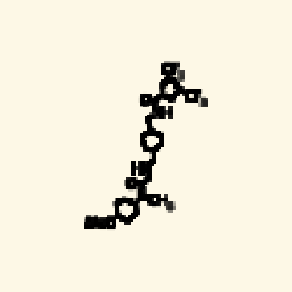 CO[C@H]1CC[C@H](N(C)C(=O)CNCC2CCC(CNC(=O)c3cc(C(F)(F)F)cc(C(F)(F)F)c3)CC2)CC1